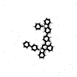 c1ccc(-c2ccc(-n3c4ccccc4c4c5cccc6c5c(cc43)-c3ccc(-c4ccc5c7ccccc7n(-c7ccccc7)c5c4)cc3S6)cc2)cc1